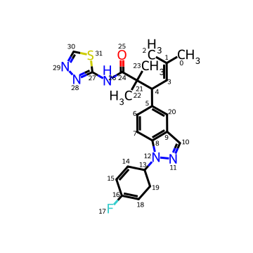 CC(C)=CC(c1ccc2c(cnn2C2C=CC(F)=CC2)c1)C(C)(C)C(=O)Nc1nncs1